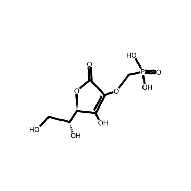 O=C1O[C@H]([C@H](O)CO)C(O)=C1OCP(=O)(O)O